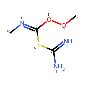 CN=C(OOC)SC(=N)N